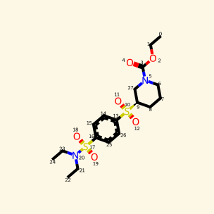 CCOC(=O)N1CCC[C@@H](S(=O)(=O)c2ccc(S(=O)(=O)N(CC)CC)cc2)C1